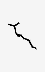 CCCCC=CC(C)C